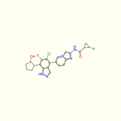 O=C(Nc1cn2cc(-c3c(Cl)c(F)c(C4CCCC4O)c4[nH]ncc34)ccc2n1)C1CC1F